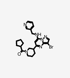 O=C(C1CCCC1)N1CCCC(c2cc(NCc3cccnc3)n3ncc(Br)c3n2)C1